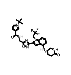 CC(C)(C)n1ccc(C(=O)NCc2nc(-c3cc4c(N[C@H]5CCC(=O)NC5)cccc4n3CC(F)(F)F)no2)c1